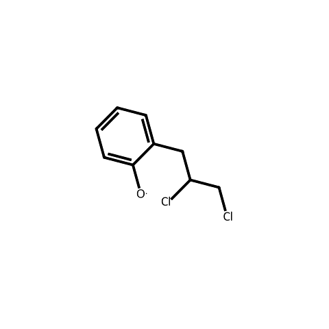 [O]c1ccccc1CC(Cl)CCl